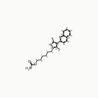 Cc1nn(CCCCCCOC(N)=O)c(C)c1-c1ccc2ccccc2n1